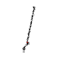 [N-]=[N+]=NCCOCCOCCOCCOCCOCCOCCOCCOCCOCCOCCOCCn1cc(COCCN2CCNCC2)nn1